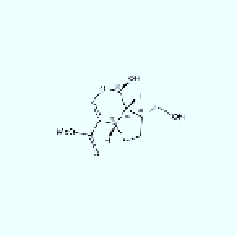 COC(=O)C1=CO[C@@H](O)[C@@H]2[C@H](CO)CC[C@H]12